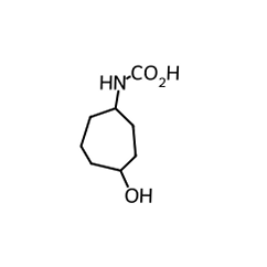 O=C(O)NC1CCCC(O)CC1